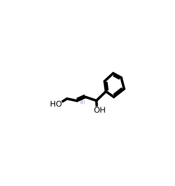 OC/C=C/C(O)c1ccccc1